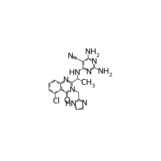 CC(Nc1nc(N)nc(N)c1C#N)c1nc2cccc(Cl)c2c(=O)n1Cc1ncc[nH]1